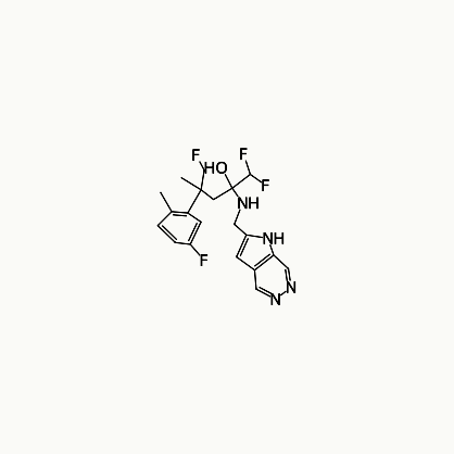 Cc1ccc(F)cc1C(C)(CF)CC(O)(NCc1cc2cnncc2[nH]1)C(F)F